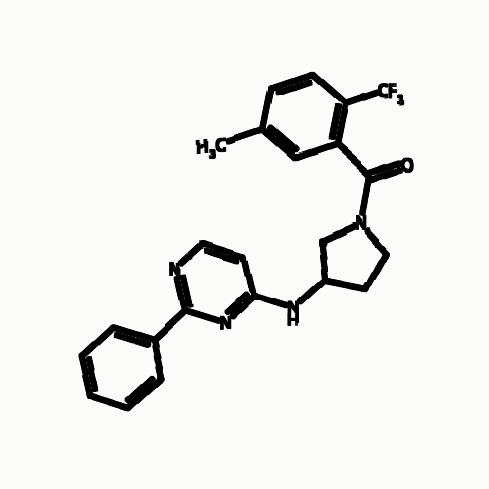 Cc1ccc(C(F)(F)F)c(C(=O)N2CCC(Nc3ccnc(-c4ccccc4)n3)C2)c1